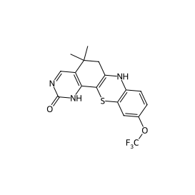 CC1(C)CC2=C(Sc3cc(OC(F)(F)F)ccc3N2)c2[nH]c(=O)ncc21